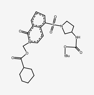 CC(C)(C)OC(=O)NC1CCN(S(=O)(=O)c2cccc3c(=O)n(COC(=O)C4CCCCC4)ccc23)C1